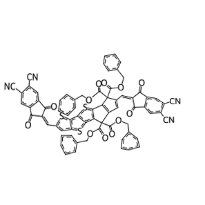 N#Cc1cc2c(cc1C#N)C(=O)C(=CC1=CC3=C(c4sc5c(sc6cc(C=C7C(=O)c8cc(C#N)c(C#N)cc8C7=O)sc65)c4C3(C(=O)OCc3ccccc3)C(=O)OCc3ccccc3)C1(C(=O)OCc1ccccc1)C(=O)OCc1ccccc1)C2=O